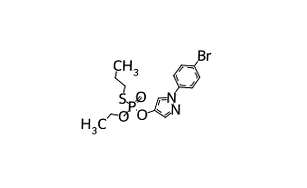 CCCSP(=O)(OCC)Oc1cnn(-c2ccc(Br)cc2)c1